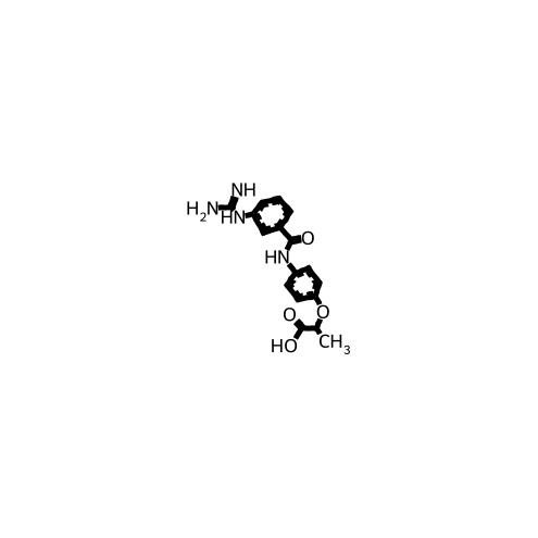 CC(Oc1ccc(NC(=O)c2cccc(NC(=N)N)c2)cc1)C(=O)O